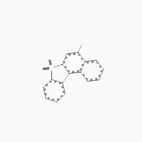 O=S1(=O)c2ccccc2-c2c1cc(Br)c1ccc[c]c21